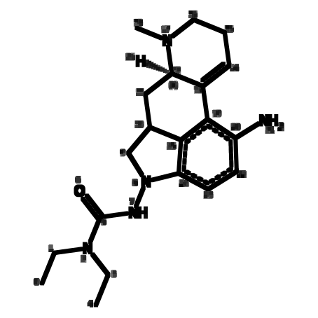 CCN(CC)C(=O)NN1CC2C[C@@H]3C(=CCCN3C)c3c(N)ccc1c32